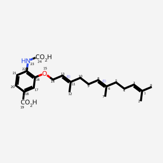 CC(C)=CCC/C(C)=C/CC/C(C)=C/COc1cc(C(=O)O)ccc1NC(=O)O